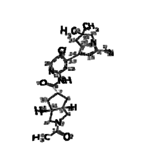 CC(=O)N1C[C@H]2C[C@@H](C(=O)Nc3cc(-c4cc(C#N)n5c4CC(C)(C)C5)c(Cl)cn3)C[C@H]2C1